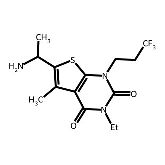 CCn1c(=O)c2c(C)c(C(C)N)sc2n(CCC(F)(F)F)c1=O